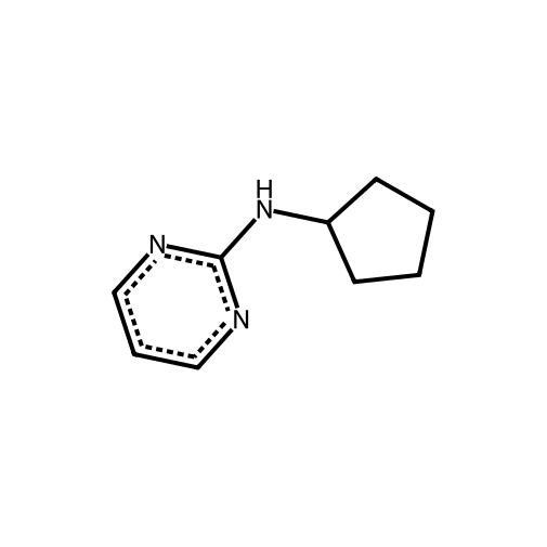 c1cnc(NC2CCCC2)nc1